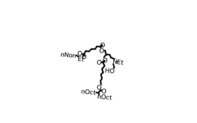 CCCCCCCCCC(CC)OC(=O)CCCCCC(=O)OCC(CCCN(CC)CCO)COC(=O)CCCCCCCOC(=O)C(CCCCCCCC)CCCCCCCC